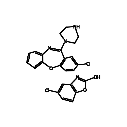 Clc1ccc2c(c1)C(N1CCNCC1)=Nc1ccccc1O2.Oc1nc2cc(Cl)ccc2o1